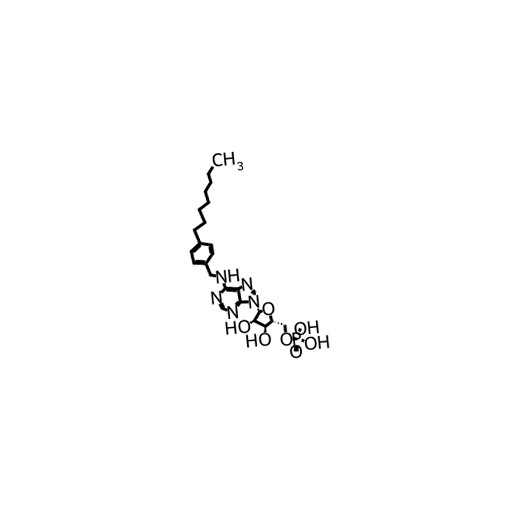 CCCCCCCCc1ccc(CNc2ncnc3c2ncn3[C@@H]2O[C@H](COP(=O)(O)O)[C@@H](O)[C@H]2O)cc1